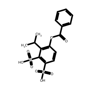 CC(C)c1c(OC(=O)c2ccccc2)ccc(S(=O)(=O)O)c1S(=O)(=O)O